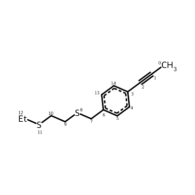 CC#Cc1ccc(CSCCSCC)cc1